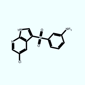 Nc1cccc(S(=O)(=O)c2c[nH]c3ncc(Cl)cc23)c1